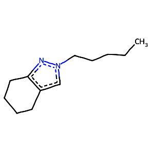 CCCCCn1cc2c(n1)CCCC2